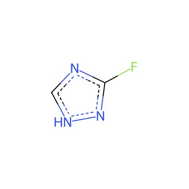 Fc1nc[nH]n1